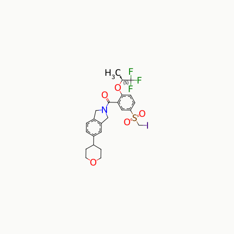 C[C@H](Oc1ccc(S(=O)(=O)CI)cc1C(=O)N1Cc2ccc(C3CCOCC3)cc2C1)C(F)(F)F